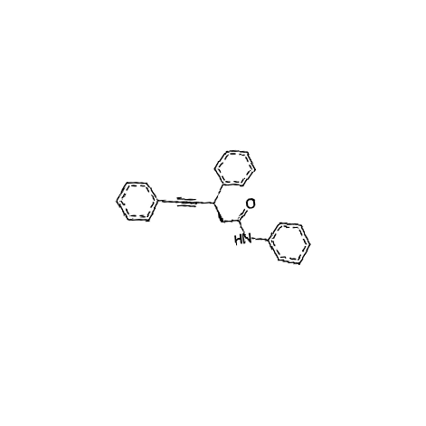 O=C(C[C@@H](C#Cc1ccccc1)c1ccccc1)Nc1ccccc1